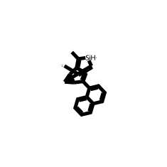 [CH]c1c2c3c(-c4cccc5ccccc45)c4c1C4C3=C(C)[SiH]2